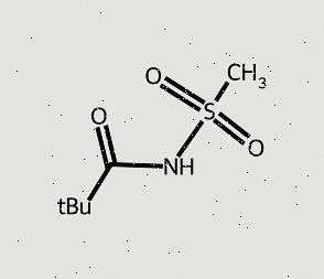 CC(C)(C)C(=O)NS(C)(=O)=O